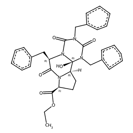 CCOC(=O)[C@@H]1CC[C@H]2N1C(=O)[C@@H](Cc1ccccc1)N1C(=O)N(Cc3ccccc3)C(=O)N(Cc3ccccc3)[C@]21O